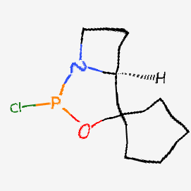 ClP1OC2(CCCC2)[C@@H]2CCN21